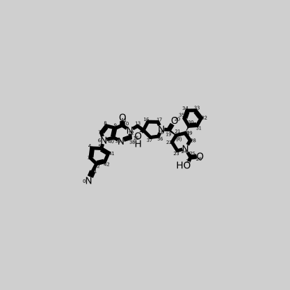 N#Cc1ccc(-n2ccc3c(=O)n(CC4(O)CCN(C(=O)[C@@H]5CCN(C(=O)O)C[C@H]5c5ccccc5)CC4)cnc32)cc1